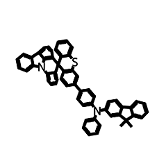 CC1(C)c2ccccc2-c2ccc(N(c3ccccc3)c3ccc(-c4ccc5c(c4)Sc4ccccc4C54c5ccccc5-n5c6ccccc6c6cccc4c65)cc3)cc21